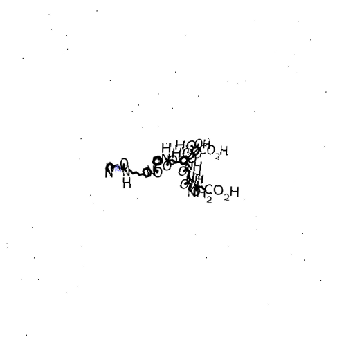 NCC(NC(=O)CCC(=O)O)C(=O)NCCC(=O)Nc1cc(COC(=O)Nc2cccc(C(=O)N3CCC(CCCCNC(=O)/C=C/c4cccnc4)CC3)c2)ccc1OC1OC(C(=O)O)C(O)C(O)[C@@H]1O